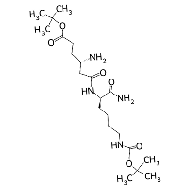 CC(C)(C)OC(=O)CC[C@H](N)CC(=O)N[C@H](CCCCNC(=O)OC(C)(C)C)C(N)=O